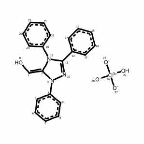 O/C=C1/N(c2ccccc2)N=C(c2ccccc2)N1c1ccccc1.[O-][Cl+3]([O-])([O-])O